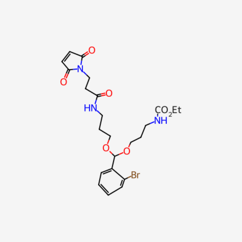 CCOC(=O)NCCCOC(OCCCNC(=O)CCN1C(=O)C=CC1=O)c1ccccc1Br